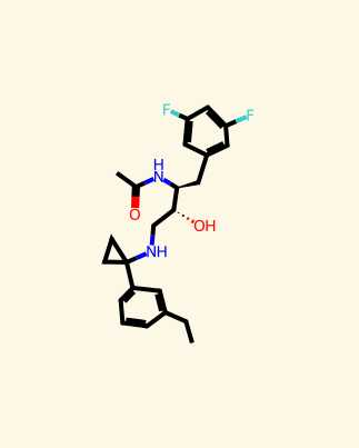 CCc1cccc(C2(NC[C@@H](O)[C@H](Cc3cc(F)cc(F)c3)NC(C)=O)CC2)c1